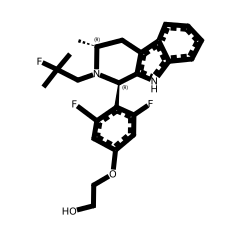 C[C@@H]1Cc2c([nH]c3ccccc23)[C@@H](c2c(F)cc(OCCO)cc2F)N1CC(C)(C)F